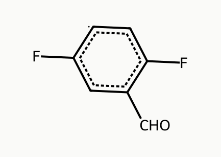 O=Cc1cc(F)[c]cc1F